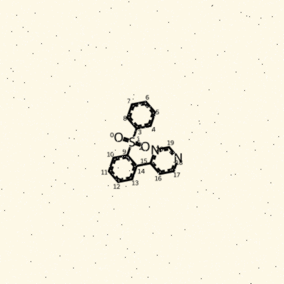 O=S(=O)(c1ccccc1)c1ccccc1-c1ccncn1